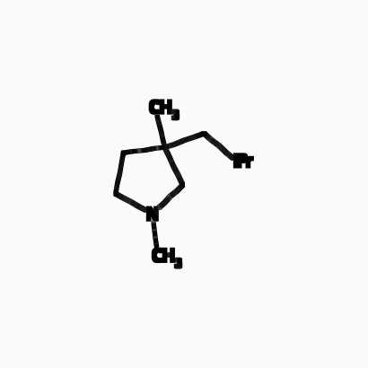 CC(C)CC1(C)CCN(C)C1